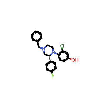 Oc1ccc(N2CCN(Cc3ccccc3)C[C@H]2c2ccc(F)cc2)c(Cl)c1